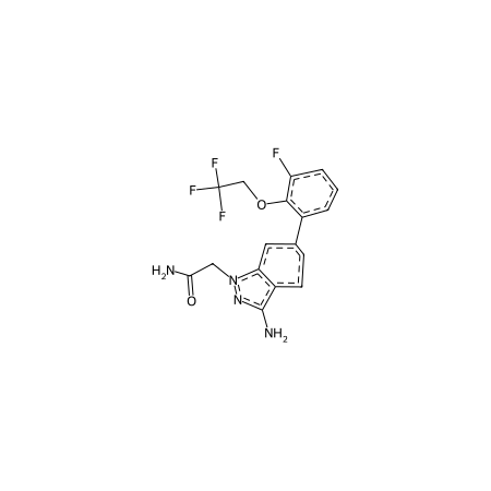 NC(=O)Cn1nc(N)c2ccc(-c3cccc(F)c3OCC(F)(F)F)cc21